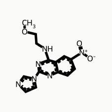 COCCNc1nc(-n2ccnc2)nc2ccc([N+](=O)[O-])cc12